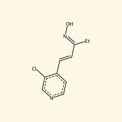 CCC(C=Cc1ccncc1Cl)=NO